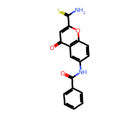 NC(=S)c1cc(=O)c2cc(NC(=O)c3ccccc3)ccc2o1